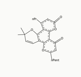 CCCCCc1cc(=O)c2c(o1)c1c(c3c(CCC)[c]c(=O)oc32)OC(C)(C)C=C1